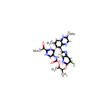 COC(=O)c1ncc(NC(=O)OC(C)C(C)Oc2nc3sc(-c4cc(C)cc5nc(OC)cnc45)nc3cc2F)cn1